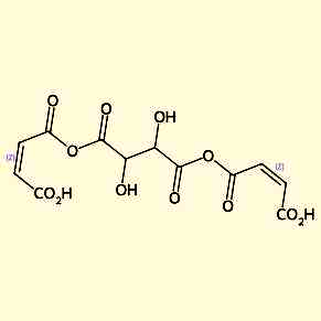 O=C(O)/C=C\C(=O)OC(=O)C(O)C(O)C(=O)OC(=O)/C=C\C(=O)O